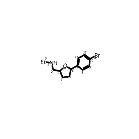 CCNCC1CCC(c2ccc(Br)cc2)O1